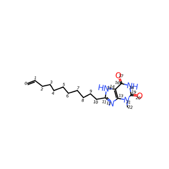 C=CCCCCCCCCCc1nc2c([nH]1)c(=O)[nH]c(=O)n2C